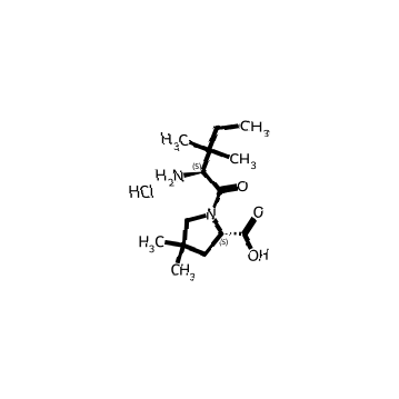 CCC(C)(C)[C@H](N)C(=O)N1CC(C)(C)C[C@H]1C(=O)O.Cl